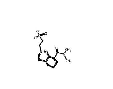 CN(C)C(=O)c1cccc2cc[n+](CCS(=O)(=O)[O-])nc12